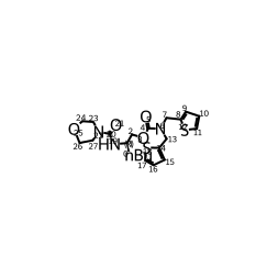 CCCC[C@H](COC(=O)N(Cc1cccs1)Cc1cccs1)NC(=O)N1CCOCC1